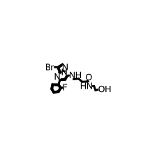 O=C(CCCNc1cc(-c2ccccc2F)nc2c(Br)cnn12)NCCO